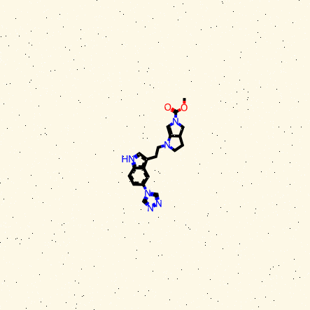 COC(=O)N1C=C2C(CCN2CCc2c[nH]c3ccc(-n4cnnc4)cc23)C1